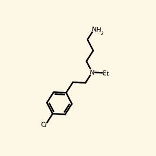 CCN(CCCN)CCc1ccc(Cl)cc1